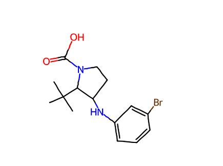 CC(C)(C)C1C(Nc2cccc(Br)c2)CCN1C(=O)O